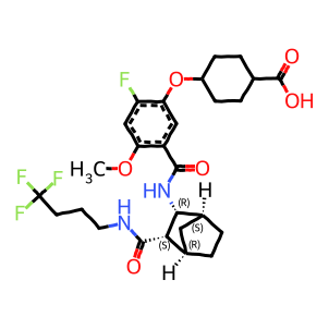 COc1cc(F)c(OC2CCC(C(=O)O)CC2)cc1C(=O)N[C@@H]1[C@H]2CC[C@H](C2)[C@@H]1C(=O)NCCCC(F)(F)F